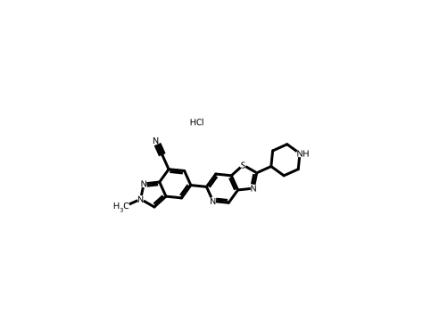 Cl.Cn1cc2cc(-c3cc4sc(C5CCNCC5)nc4cn3)cc(C#N)c2n1